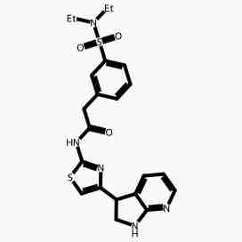 CCN(CC)S(=O)(=O)c1cccc(CC(=O)Nc2nc(C3CNc4ncccc43)cs2)c1